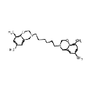 Cc1cc(C)c2c(c1)CN(CCCCCCN1COc3c(C)cc(C)cc3C1)CO2